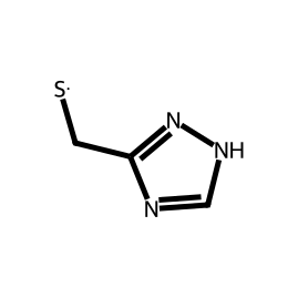 [S]Cc1nc[nH]n1